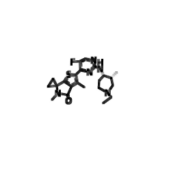 CCN1CC[C@H](Nc2ncc(F)c(-c3sc4c(c3C)C(=O)N(C)C43CC3)n2)[C@H](C)C1